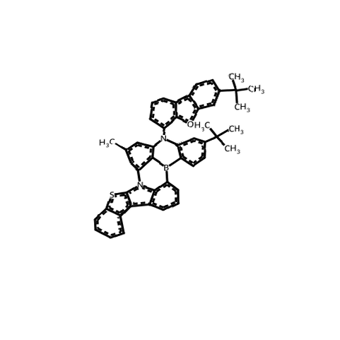 Cc1cc2c3c(c1)-n1c4sc5ccccc5c4c4cccc(c41)B3c1ccc(C(C)(C)C)cc1N2c1cccc2c1oc1cc(C(C)(C)C)ccc12